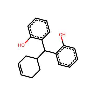 Oc1ccccc1C(c1ccccc1O)C1CC=CCC1